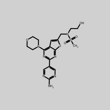 CS(=O)(=O)N(CCO)Cc1cc2c(N3CCOCC3)nc(-c3cnc(N)nc3)nc2s1